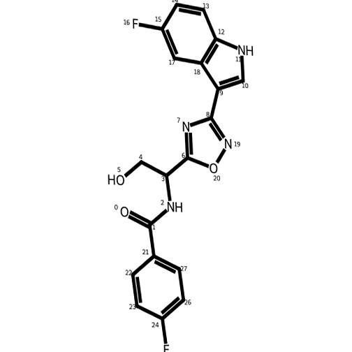 O=C(NC(CO)c1nc(-c2c[nH]c3ccc(F)cc23)no1)c1ccc(F)cc1